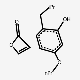 CCCOc1ccc(CC(C)C)c(O)c1.O=C1C=CO1